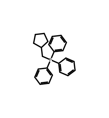 c1ccc([P](CC2CCCC2)(c2ccccc2)c2ccccc2)cc1